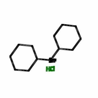 C1CC[CH]([Sn][CH]2CCCCC2)CC1.Cl